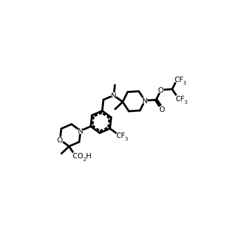 CN(Cc1cc(N2CCOC(C)(C(=O)O)C2)cc(C(F)(F)F)c1)C1(C)CCN(C(=O)OC(C(F)(F)F)C(F)(F)F)CC1